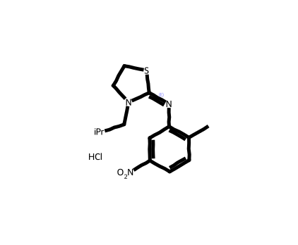 Cc1ccc([N+](=O)[O-])cc1/N=C1/SCCN1CC(C)C.Cl